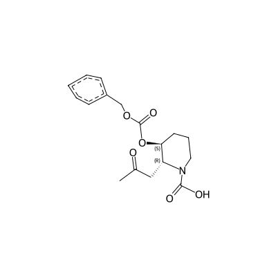 CC(=O)C[C@@H]1[C@@H](OC(=O)OCc2ccccc2)CCCN1C(=O)O